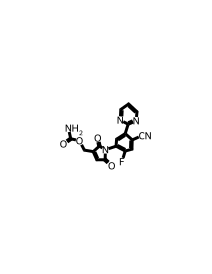 N#Cc1cc(F)c(N2C(=O)C=C(COC(N)=O)C2=O)cc1-c1ncccn1